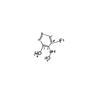 OBc1c(O)cccc1F